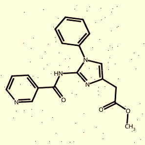 COC(=O)Cc1cn(-c2ccccc2)c(NC(=O)c2cccnc2)n1